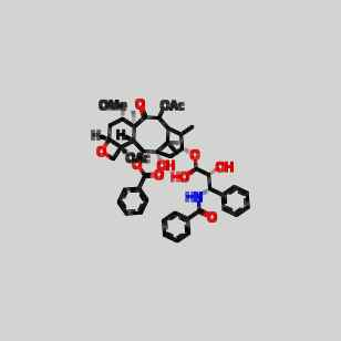 CO[C@H]1C[C@H]2OC[C@@]2(OC(C)=O)[C@H]2[C@H](OC(=O)c3ccccc3)[C@]3(O)C[C@@H](O[C@H](O)[C@H](O)[C@@H](NC(=O)c4ccccc4)c4ccccc4)C(C)C(C(OC(C)=O)C(=O)[C@]12C)C3(C)C